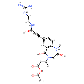 CC(CC(=O)OC(=O)C(F)(F)F)N1CC(=O)N(C)c2ccc(C#CC(=O)NCCNC(=N)N)cc2C1=O